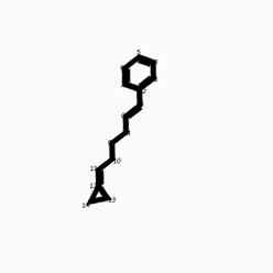 C(=Cc1ccccc1)CCCC=C1CC1